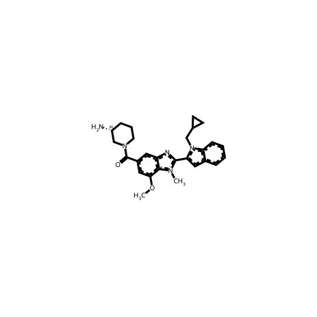 COc1cc(C(=O)N2CCC[C@@H](N)C2)cc2nc(-c3cc4ccccc4n3CC3CC3)n(C)c12